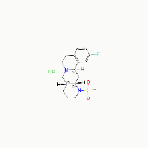 CS(=O)(=O)N1CCC[C@@H]2CN3CCc4ccc(F)cc4[C@H]3C[C@@H]21.Cl